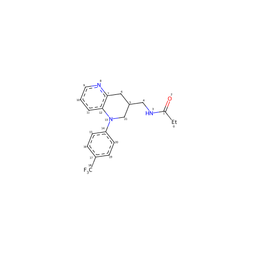 CCC(=O)NCC1Cc2ncccc2N(c2ccc(C(F)(F)F)cc2)C1